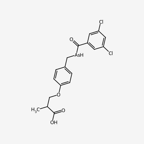 CC(COc1ccc(C[AsH]C(=O)c2cc(Cl)cc(Cl)c2)cc1)C(=O)O